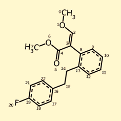 COC=C(C(=O)OC)c1ccccc1CCc1ccc(F)cc1